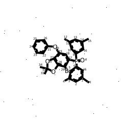 Cc1cc(C)cc(P(=O)(c2cc(C)cc(C)c2)c2cc(Oc3ccccc3)c3c(c2Br)OC(C)(C)O3)c1